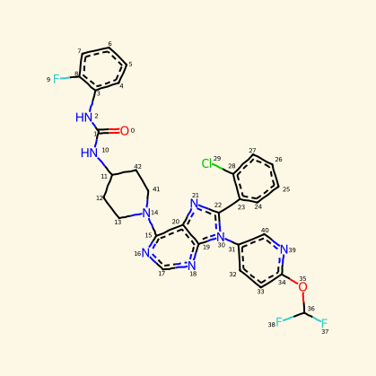 O=C(Nc1ccccc1F)NC1CCN(c2ncnc3c2nc(-c2ccccc2Cl)n3-c2ccc(OC(F)F)nc2)CC1